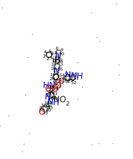 CC(C)c1ccccc1[C@@H]1CCCN1C1CC2(CCN(c3ccc(C(=O)NS(=O)(=O)c4cnc(NCC5(F)CCOCC5)c([N+](=O)[O-])c4)c(Oc4cnc5[nH]ccc5c4)c3)CC2)C1